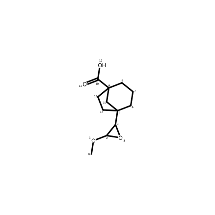 COC1OC1C12CCCC(C(=O)O)(CC1)C2